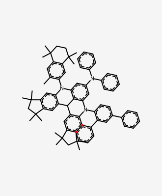 Cc1cc2c(cc1N1c3cc4c(cc3C3c5cc6c(cc5N(c5ccc(-c7ccccc7)cc5-c5ccccc5)c5cc(N(c7ccccc7)c7ccccc7)cc1c53)C(C)(C)CC6(C)C)C(C)(C)CC4(C)C)C(C)(C)CCC2(C)C